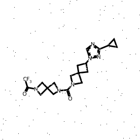 O=C(N1CC2(CC(n3cnc(C4CC4)n3)C2)C1)N1CC2(C1)CN(C(=O)C(F)(F)F)C2